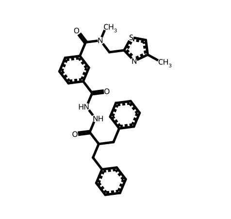 Cc1csc(CN(C)C(=O)c2cccc(C(=O)NNC(=O)[C](Cc3ccccc3)Cc3ccccc3)c2)n1